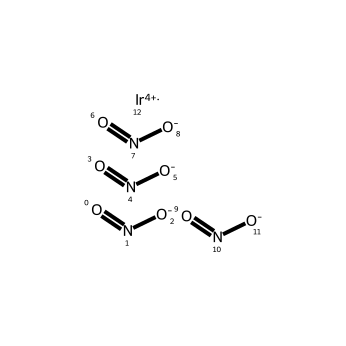 O=N[O-].O=N[O-].O=N[O-].O=N[O-].[Ir+4]